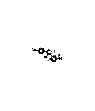 CC(Oc1ccc(C(F)(F)F)cn1)[C@@H]1CNC[C@@H]1c1ccc(C#N)cc1